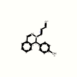 O=C/C=C/N1N=Cc2ccccc2C1c1ccc(O)cc1